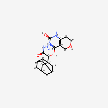 NC(=O)C(Oc1nc(=O)[nH]c2c1COCC2)C12CC3CC(CC(C3)C1)C2